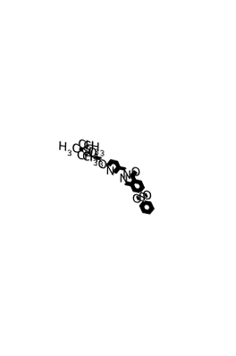 CC(C)(C)[Si](C)(C)OCCOc1ccc(Cn2ncc3cc(S(=O)(=O)c4ccccc4)ccc3c2=O)cn1